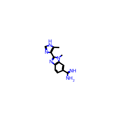 Cc1[nH]cnc1-c1nc2ccc(C(=N)N)cc2n1C